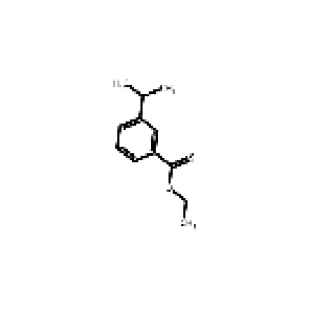 CCOC(=S)c1cccc(C(C)C)c1